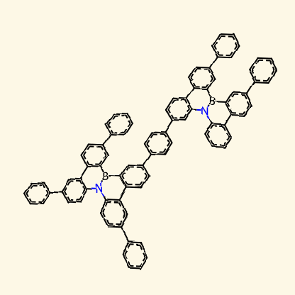 c1ccc(-c2ccc3c(c2)B2c4cc(-c5ccc(-c6ccc7c(c6)N6B(c8cc(-c9ccccc9)ccc8-c8ccccc86)c6cc(-c8ccccc8)ccc6-7)cc5)ccc4-c4cc(-c5ccccc5)ccc4N2c2ccc(-c4ccccc4)cc2-3)cc1